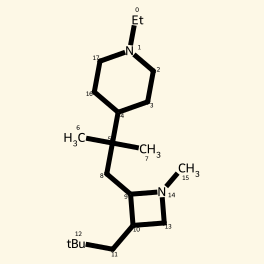 CCN1CCC(C(C)(C)CC2C(CC(C)(C)C)CN2C)CC1